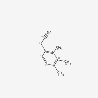 Cc1ccc(CC#N)c(C)c1C